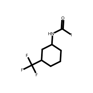 O=C(I)NC1CCCC(C(F)(F)F)C1